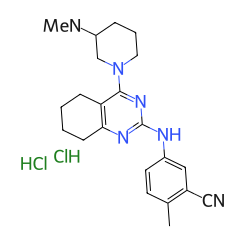 CNC1CCCN(c2nc(Nc3ccc(C)c(C#N)c3)nc3c2CCCC3)C1.Cl.Cl